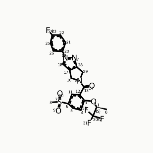 C[C@H](Oc1ccc(S(C)(=O)=O)cc1C(=O)N1Cc2cn(-c3ccc(F)cc3)nc2C1)C(F)(F)F